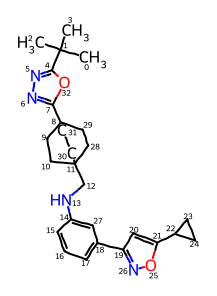 CC(C)(C)c1nnc(C23CCC(CNc4cccc(-c5cc(C6CC6)on5)c4)(CC2)CC3)o1